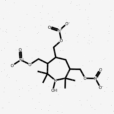 CC1(C)C(CO[N+](=O)[O-])CC(CO[N+](=O)[O-])C(CO[N+](=O)[O-])C(C)(C)N1O